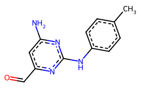 Cc1ccc(Nc2nc(N)cc(C=O)n2)cc1